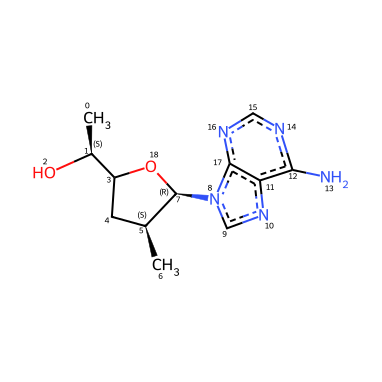 C[C@H](O)C1C[C@H](C)[C@H](n2cnc3c(N)ncnc32)O1